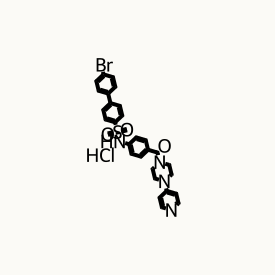 Cl.O=C(c1ccc(NS(=O)(=O)c2ccc(-c3ccc(Br)cc3)cc2)cc1)N1CCN(c2ccncc2)CC1